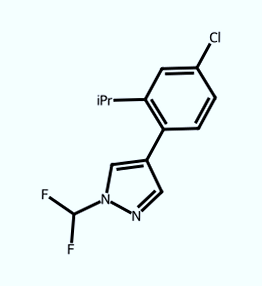 CC(C)c1cc(Cl)ccc1-c1cnn(C(F)F)c1